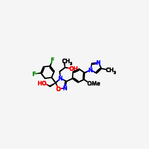 COc1cc(C2=NO[C@](CO)(C3C=C(F)C=C(F)C3)N2C[C@@H](C)O)ccc1-n1cnc(C)c1